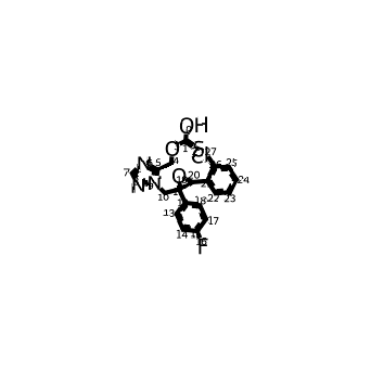 OC(=S)OCc1ncnn1CC1(c2ccc(F)cc2)OC1c1ccccc1Cl